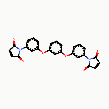 O=C1C=CC(=O)N1c1cccc(Oc2cccc(Oc3cccc(N4C(=O)C=CC4=O)c3)c2)c1